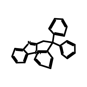 c1ccc(C(Cc2nc3ccccc3[nH]2)(c2ccccc2)c2ccccc2)cc1